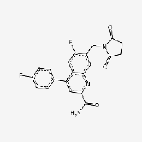 NC(=O)c1cc(-c2ccc(F)cc2)c2cc(F)c(CN3C(=O)CCC3=O)cc2n1